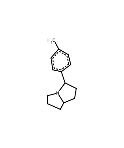 Cc1ccc(C2CCC3CCCN32)cc1